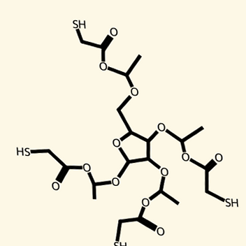 CC(OCC1OC(OC(C)OC(=O)CS)C(OC(C)OC(=O)CS)C1OC(C)OC(=O)CS)OC(=O)CS